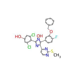 CSc1nccc(-c2nc(-c3c(Cl)cc(O)cc3Cl)n(O)c2-c2ccc(F)c(OCc3ccccc3)c2)n1